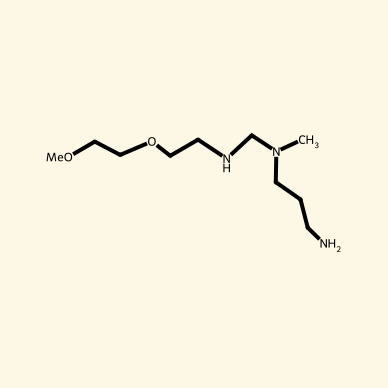 COCCOCCNCN(C)CCCN